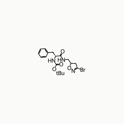 CC(C)(C)OC(=O)N[C@@H](Cc1ccccc1)C(=O)NCC1CC(Br)=NO1